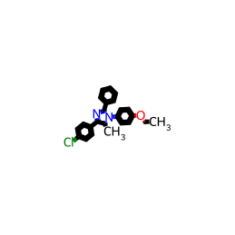 CCOc1ccc(N2C(C)C(c3ccc(Cl)cc3)=NC2c2ccccc2)cc1